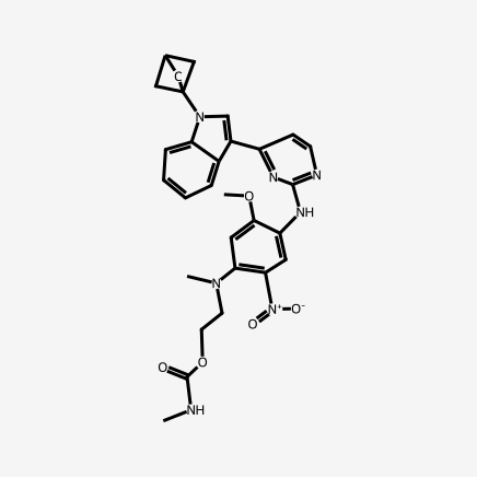 CNC(=O)OCCN(C)c1cc(OC)c(Nc2nccc(-c3cn(C45CC(C4)C5)c4ccccc34)n2)cc1[N+](=O)[O-]